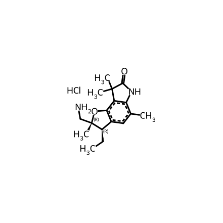 CC[C@@H]1c2cc(C)c3c(c2O[C@@]1(C)CN)C(C)(C)C(=O)N3.Cl